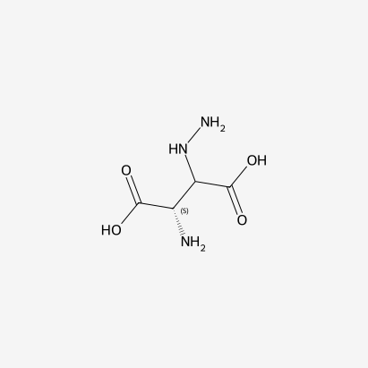 NNC(C(=O)O)[C@H](N)C(=O)O